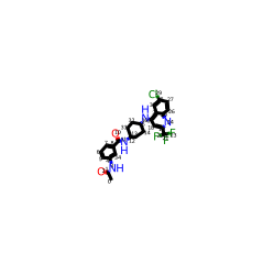 CC(=O)Nc1cccc(C(=O)NC2CCC(Nc3cc(C(F)(F)F)nc4ccc(Cl)cc34)CC2)c1